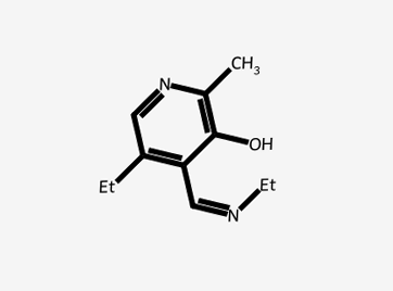 CC/N=C\c1c(CC)cnc(C)c1O